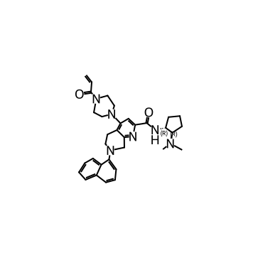 C=CC(=O)N1CCN(c2cc(C(=O)N[C@@H]3CCC[C@H]3N(C)C)nc3c2CCN(c2cccc4ccccc24)C3)CC1